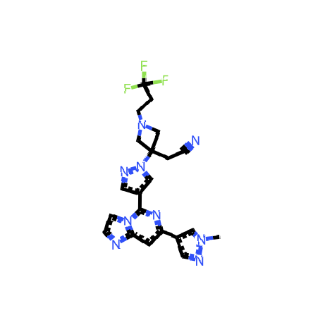 Cn1cc(-c2cc3nccn3c(-c3cnn(C4(CC#N)CN(CCC(F)(F)F)C4)c3)n2)cn1